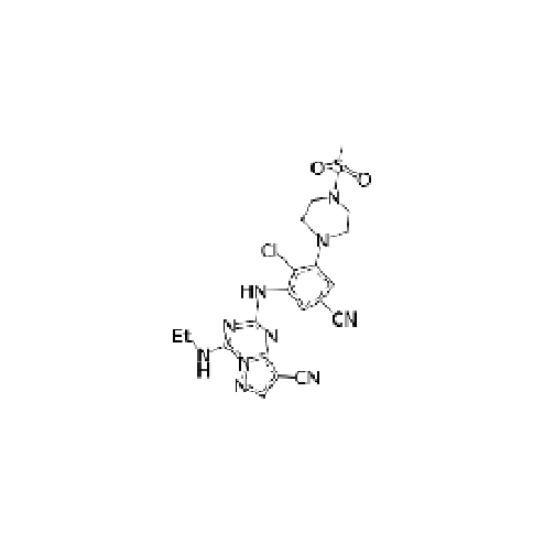 CCNc1nc(Nc2cc(C#N)cc(N3CCN(S(C)(=O)=O)CC3)c2Cl)nc2c(C#N)cnn12